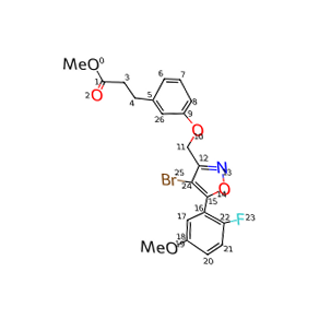 COC(=O)CCc1cccc(OCc2noc(-c3cc(OC)ccc3F)c2Br)c1